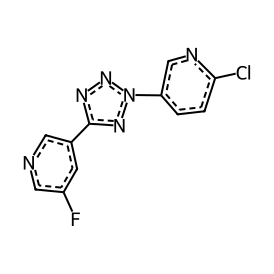 Fc1cncc(-c2nnn(-c3ccc(Cl)nc3)n2)c1